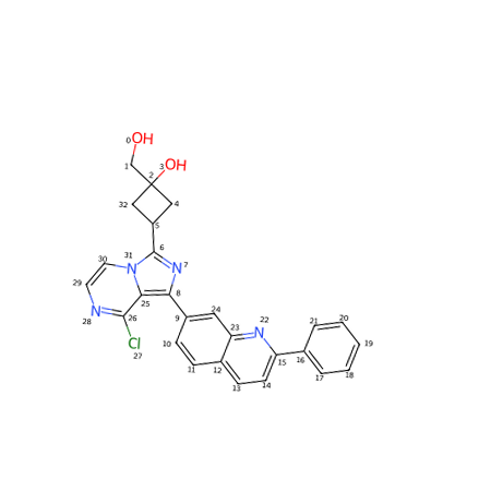 OCC1(O)CC(c2nc(-c3ccc4ccc(-c5ccccc5)nc4c3)c3c(Cl)nccn23)C1